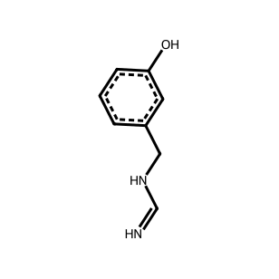 N=CNCc1cccc(O)c1